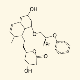 CCC[C@@H](COC1CC(O)C=C2C=CC(C)C(CC[C@@H]3C[C@@H](O)CC(=O)O3)C21)Oc1ccccc1